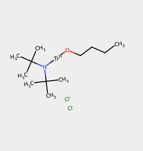 CCCC[O][Ti+2][N](C(C)(C)C)C(C)(C)C.[Cl-].[Cl-]